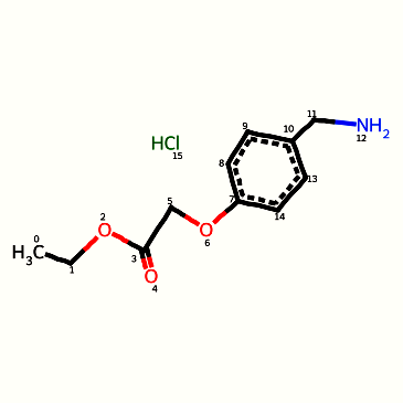 CCOC(=O)COc1ccc(CN)cc1.Cl